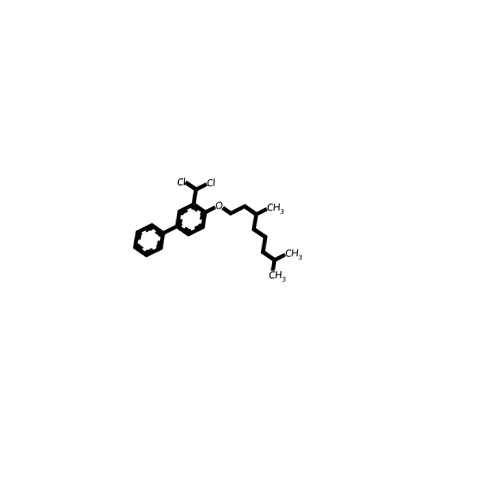 CC(C)CCCC(C)CCOc1ccc(-c2ccccc2)cc1C(Cl)Cl